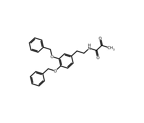 CC(=O)C(=O)NCCc1ccc(OCc2ccccc2)c(OCc2ccccc2)c1